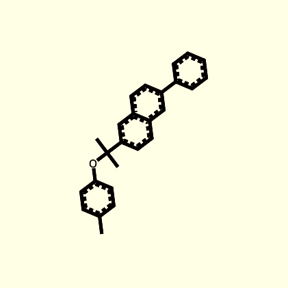 Cc1ccc(OC(C)(C)c2ccc3cc(-c4ccccc4)ccc3c2)cc1